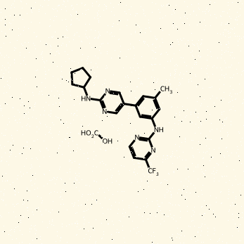 Cc1cc(Nc2nccc(C(F)(F)F)n2)cc(-c2cnc(NC3CCCC3)nc2)c1.O=C(O)O